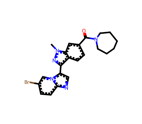 Cn1nc(-c2cnc3ccc(Br)cn23)c2ccc(C(=O)N3CCCCCC3)cc21